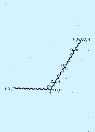 N[C@@H](CCCCNC(=O)COCCOCCNC(=O)COCCOCCNC(=O)CC[C@H](NC(=P)CCCCCCCCCCCCCCCCC(=O)O)C(=O)O)C(=O)O